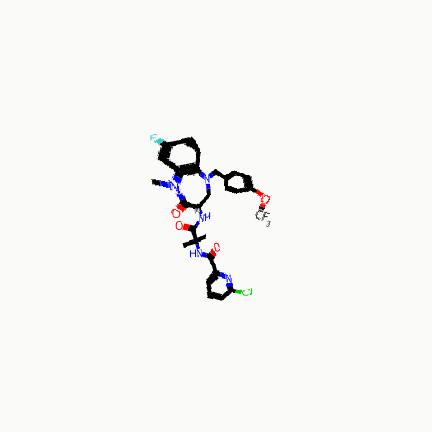 CN1C(=O)[C@H](NC(=O)C(C)(C)NC(=O)c2cccc(Cl)n2)CN(Cc2ccc(OC(F)(F)F)cc2)c2ccc(F)cc21